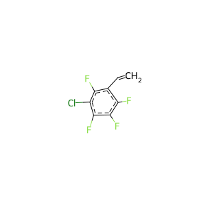 C=Cc1c(F)c(F)c(F)c(Cl)c1F